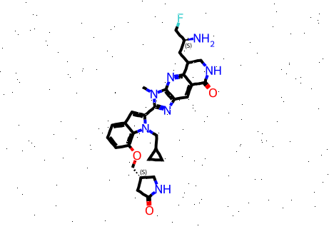 Cn1c(-c2cc3cccc(OC[C@@H]4CNC(=O)C4)c3n2CC2CC2)nc2cc3c(nc21)C(C[C@H](N)CF)CNC3=O